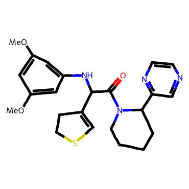 COc1cc(NC(C(=O)N2CCCCC2c2cnccn2)C2=CSCC2)cc(OC)c1